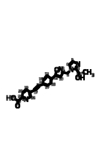 C[C@H](O)c1nccn1Cc1cc(-c2ccc(C#Cc3ccc(C(=O)O)nc3)cc2)on1